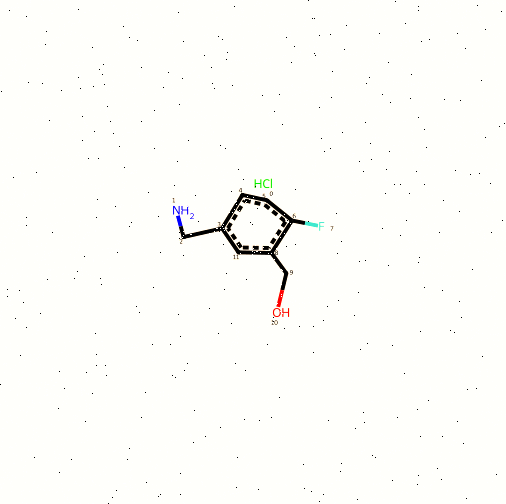 Cl.NCc1ccc(F)c(CO)c1